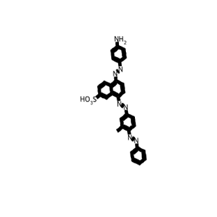 Cc1cc(N=Nc2ccc(N=Nc3ccc(N)cc3)c3ccc(S(=O)(=O)O)cc23)ccc1N=Nc1ccccc1